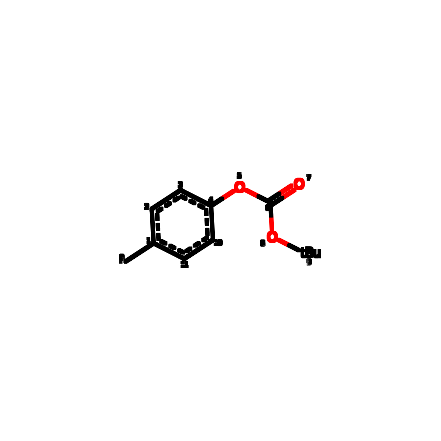 [CH2]c1ccc(OC(=O)OC(C)(C)C)cc1